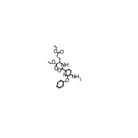 CCOC(=O)CCC(NC(=O)c1ccc(N)c(Oc2ccccc2)n1)C(=O)OCC